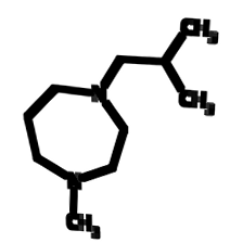 CC(C)CN1CCCN(C)CC1